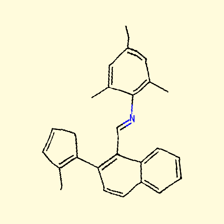 CC1=C(c2ccc3ccccc3c2C=Nc2c(C)cc(C)cc2C)CC=C1